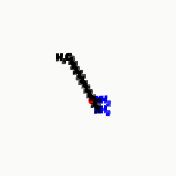 CCCCCCCCCCCCCCCCCCOC(N)=CCN